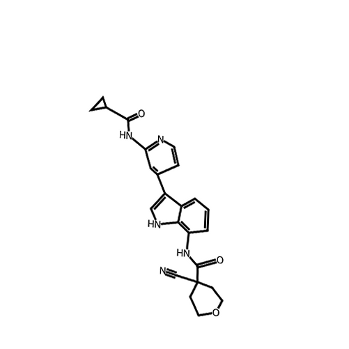 N#CC1(C(=O)Nc2cccc3c(-c4ccnc(NC(=O)C5CC5)c4)c[nH]c23)CCOCC1